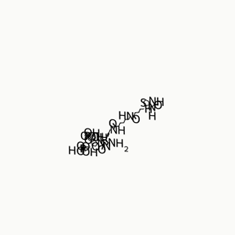 Nc1nc(=O)n([C@@H]2O[C@H](COP(=O)(O)O)C(OP(=O)(O)O)C2O)cc1C#CCNC(=O)CCCCCNC(=O)CCCC[C@@H]1SCC2NC(=O)N[C@@H]21